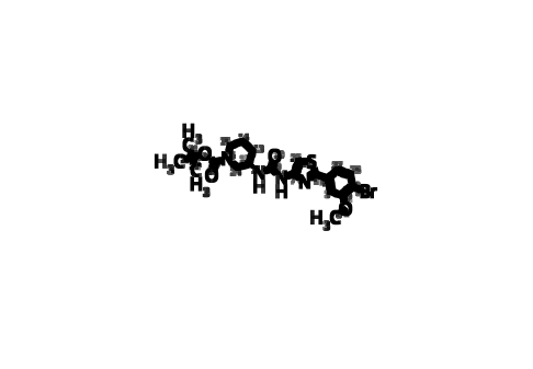 COc1cc(-c2nc(NC(=O)N[C@H]3CCCN(C(=O)OC(C)(C)C)C3)cs2)ccc1Br